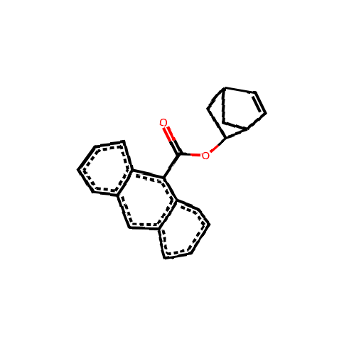 O=C(OC1CC2C=CC1C2)c1c2ccccc2cc2ccccc12